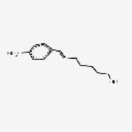 O=C(O)c1ccc(C=CCCCCCO)cc1